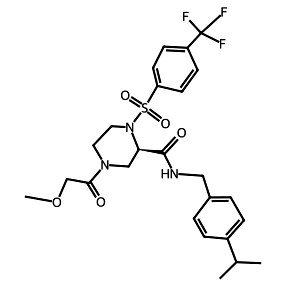 COCC(=O)N1CCN(S(=O)(=O)c2ccc(C(F)(F)F)cc2)[C@@H](C(=O)NCc2ccc(C(C)C)cc2)C1